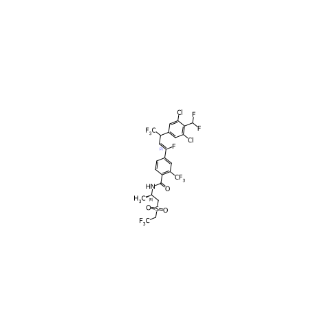 C[C@H](CS(=O)(=O)CC(F)(F)F)NC(=O)c1ccc(/C(F)=C/C(c2cc(Cl)c(C(F)F)c(Cl)c2)C(F)(F)F)cc1C(F)(F)F